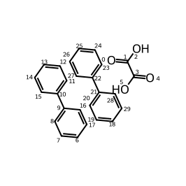 O=C(O)C(=O)O.c1ccc(-c2ccccc2)cc1.c1ccc(-c2ccccc2)cc1